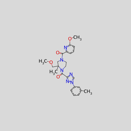 COCC1(C)CN(C(=O)c2cccc(OC)n2)CCN1C(=O)c1ncn(-c2cccc(C)c2)n1